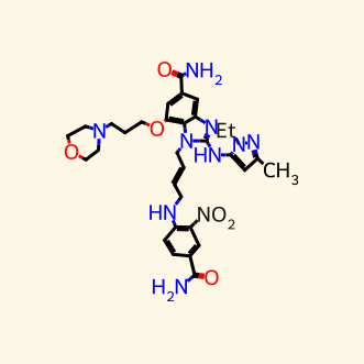 CCn1nc(C)cc1Nc1nc2cc(C(N)=O)cc(OCCCN3CCOCC3)c2n1C/C=C/CNc1ccc(C(N)=O)cc1[N+](=O)[O-]